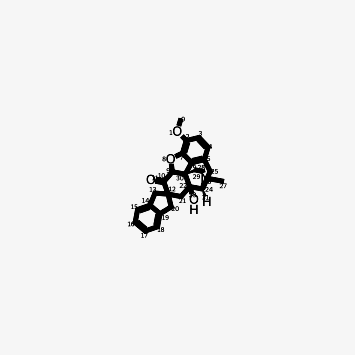 COc1ccc2c3c1OC1C(=O)C4(Cc5ccccc5C4)CC4(O)[C@@H](C2)N(C)CC[C@]314